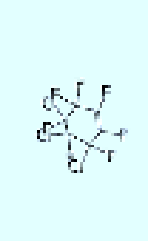 FC1=C(F)C(F)(Cl)C(F)(Cl)C(F)(Cl)C1(F)F